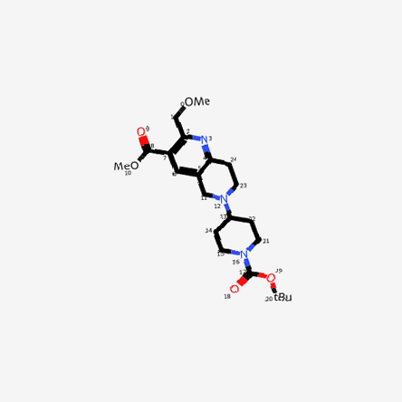 COCc1nc2c(cc1C(=O)OC)CN(C1CCN(C(=O)OC(C)(C)C)CC1)CC2